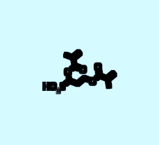 C=C(C)C(=O)OCCC(OC(=O)C(=C)C)S(=O)(=O)O